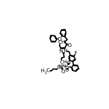 CCCCOC(=O)NS(=O)(=O)c1ccccc1-c1ccc(Cn2c(CCC)nc(CC)c2C(=O)CCc2ccccc2Oc2ccccc2)c(F)c1